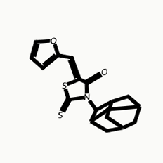 O=C1C(=Cc2ccco2)SC(=S)N1C1C2CC3CC(C2)CC1C3